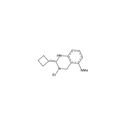 CCN1Cc2c(NC)cccc2NC1=C1CCC1